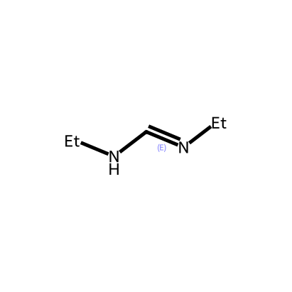 CC/N=C/NCC